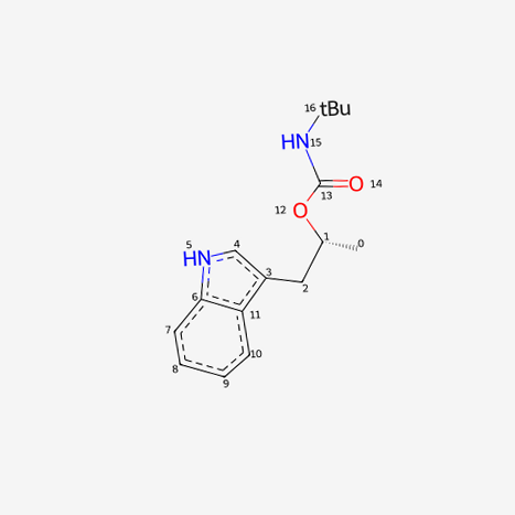 C[C@H](Cc1c[nH]c2ccccc12)OC(=O)NC(C)(C)C